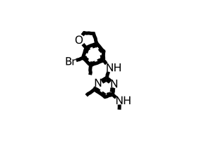 CNc1cc(C)nc(Nc2cc3c(c(Br)c2C)OCC3)n1